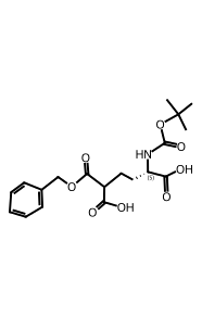 CC(C)(C)OC(=O)N[C@@H](CCC(C(=O)O)C(=O)OCc1ccccc1)C(=O)O